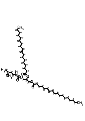 CCCCCCCCC=CCCCCCCCC(=O)OCC(COC(=O)NCCN(C)C)OC(=O)CCCCCCCC=CCCCCCCCC